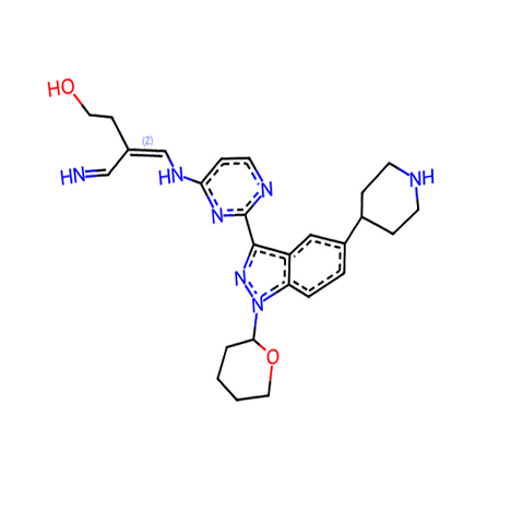 N=C/C(=C\Nc1ccnc(-c2nn(C3CCCCO3)c3ccc(C4CCNCC4)cc23)n1)CCO